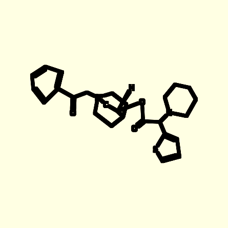 O=C(C[N+]12CCC(CC1)[C@@H](OC(=O)C(c1cccs1)N1CCCCC1)C2)c1ccccc1